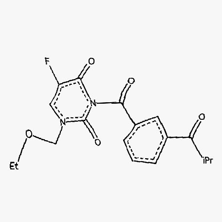 CCOCn1cc(F)c(=O)n(C(=O)c2cccc(C(=O)C(C)C)c2)c1=O